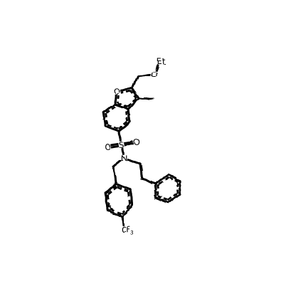 CCOCc1oc2ccc(S(=O)(=O)N(CCc3ccccc3)Cc3ccc(C(F)(F)F)cc3)cc2c1C